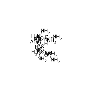 CC(=O)C(CCCCNC(=O)C(CCCCNC(=O)C(N)CCCCN)NC(=O)C(N)CCCCN)NC(=O)C(CCCCNC(=O)C(N)CCCCN)NC(=O)C(N)CCCCN